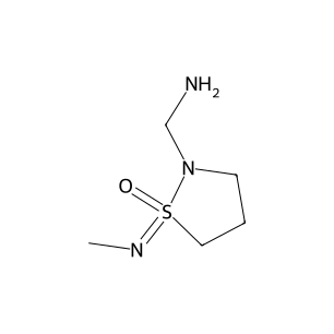 CN=S1(=O)CCCN1CN